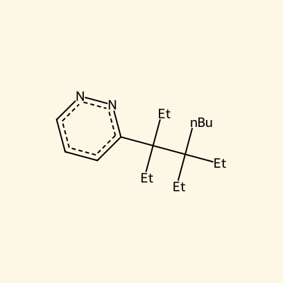 CCCCC(CC)(CC)C(CC)(CC)c1cccnn1